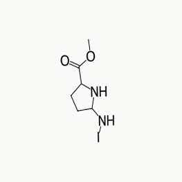 COC(=O)C1CCC(NI)N1